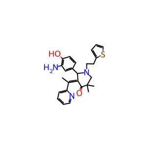 C/C(=C1/C(=O)C(C)(C)CN(CCc2cccs2)C1c1ccc(O)c(N)c1)c1ccccn1